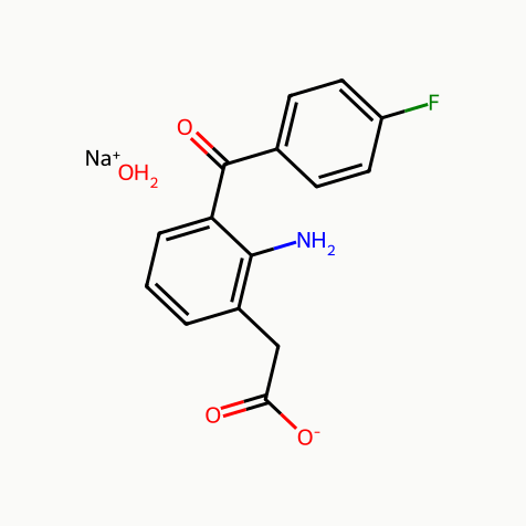 Nc1c(CC(=O)[O-])cccc1C(=O)c1ccc(F)cc1.O.[Na+]